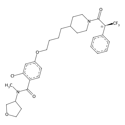 CN(C(=O)c1ccc(OCCCCC2CCN(C(=O)[C@H](c3ccccc3)C(F)(F)F)CC2)cc1Cl)C1CCOC1